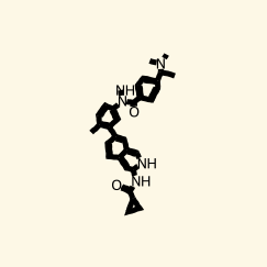 Cc1ccc(N(N)C(=O)c2ccc(C(C)N(C)C)cc2)cc1-c1ccc2c(c1)=CNC(NC(=O)C1CC1)C=2